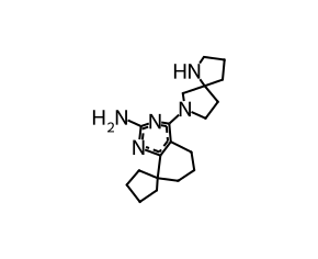 Nc1nc(N2CCC3(CCCN3)C2)c2c(n1)C1(CCCC1)CCC2